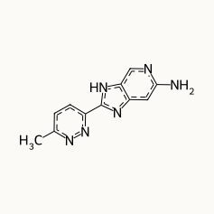 Cc1ccc(-c2nc3cc(N)ncc3[nH]2)nn1